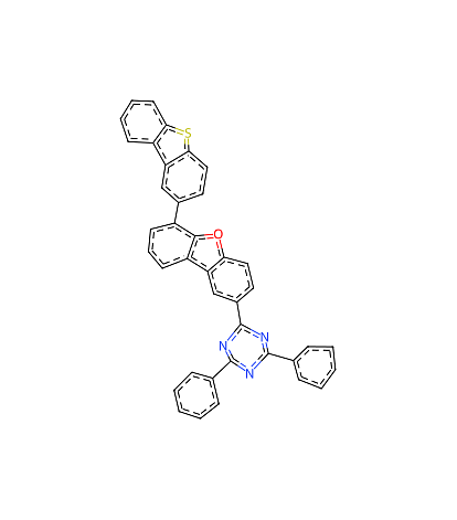 c1ccc(-c2nc(-c3ccccc3)nc(-c3ccc4oc5c(-c6ccc7sc8ccccc8c7c6)cccc5c4c3)n2)cc1